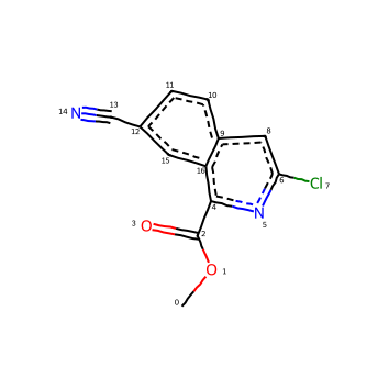 COC(=O)c1nc(Cl)cc2ccc(C#N)cc12